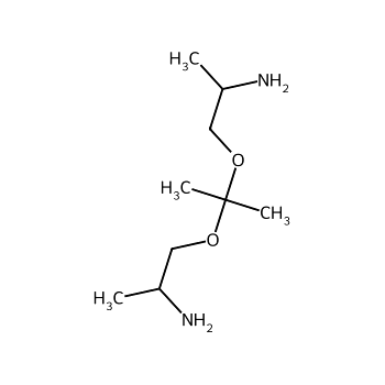 CC(N)COC(C)(C)OCC(C)N